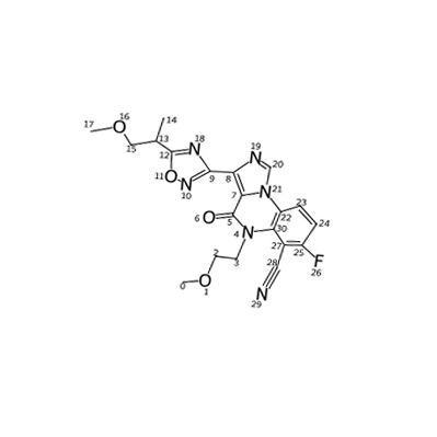 COCCn1c(=O)c2c(-c3noc(C(C)COC)n3)ncn2c2ccc(F)c(C#N)c21